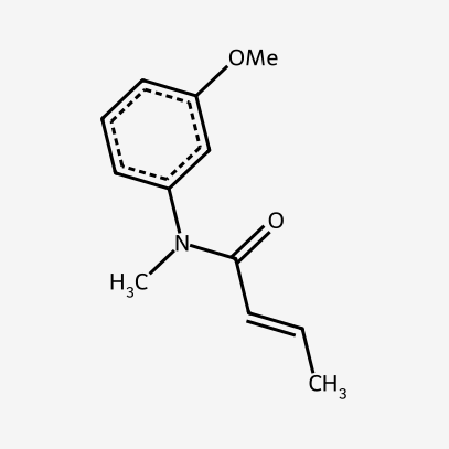 CC=CC(=O)N(C)c1cccc(OC)c1